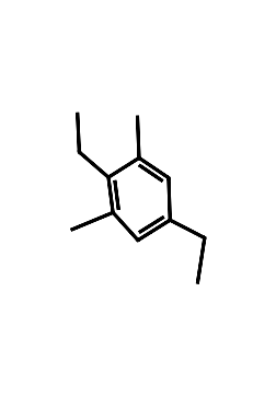 CCc1cc(C)c(CC)c(C)c1